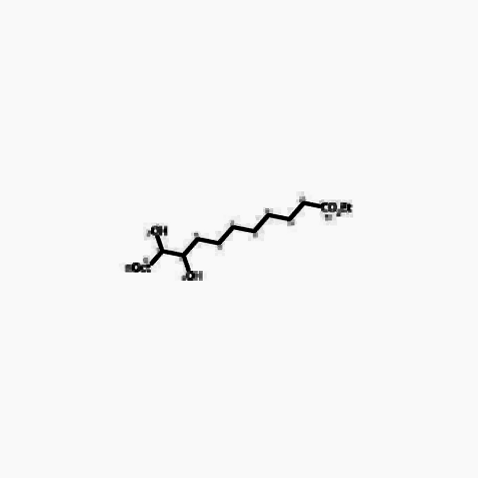 CCCCCCCCC(O)C(O)CCCCCCCC(=O)OCC